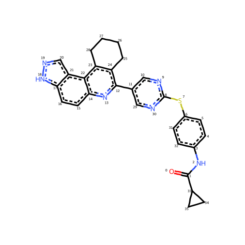 O=C(Nc1ccc(Sc2ncc(-c3nc4ccc5[nH]ncc5c4c4c3CCCC4)cn2)cc1)C1CC1